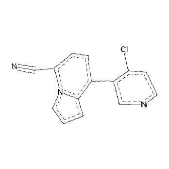 N#Cc1ccc(-c2cnccc2Cl)c2cccn12